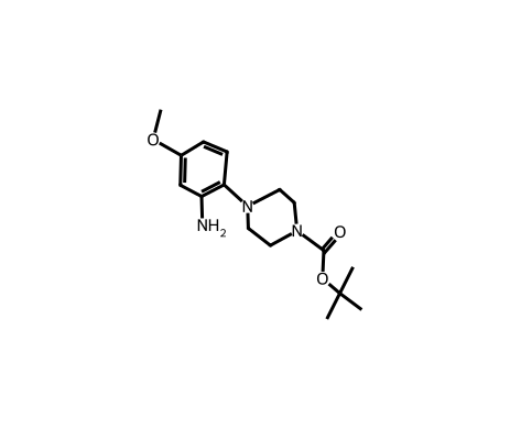 COc1ccc(N2CCN(C(=O)OC(C)(C)C)CC2)c(N)c1